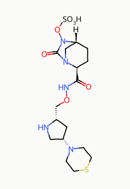 O=C(NOC[C@@H]1C[C@H](N2CCSCC2)CN1)[C@@H]1CC[C@@H]2CN1C(=O)N2OS(=O)(=O)O